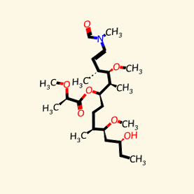 CC[C@@H](O)C[C@H](OC)[C@@H](C)CC[C@@H](OC(=O)[C@@H](C)OC)[C@H](C)[C@H](OC)[C@H](C)/C=C/N(C)C=O